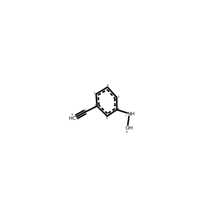 C#Cc1cccc(NO)c1